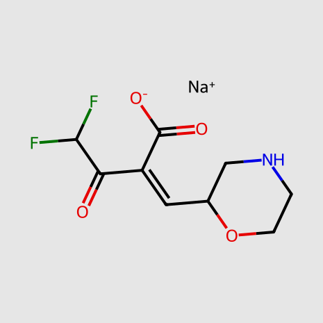 O=C([O-])C(=CC1CNCCO1)C(=O)C(F)F.[Na+]